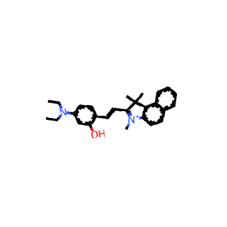 CCN(CC)c1ccc(/C=C/C2=[N+](C)c3ccc4ccccc4c3C2(C)C)c(O)c1